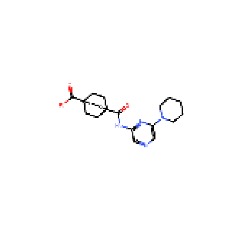 O=C(O)C12CCC(C(=O)Nc3cncc(N4CCCCC4)n3)(CC1)CC2